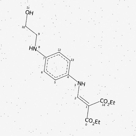 CCOC(=O)C(=CNc1ccc(NCCO)cc1)C(=O)OCC